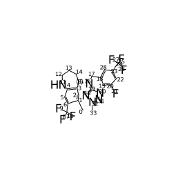 Cc1cc2c(cc1C(F)(F)F)NCCC[C@@H]2N(Cc1cc(F)cc(C(F)(F)F)c1)c1nnn(C)n1